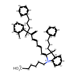 C=C(/C=C/C=C/C=C1/N(CCCCCC(=O)O)c2ccccc2C1(C)CCCc1ccccc1)C(C)(CCCc1ccccc1)c1ccccc1C